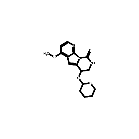 COc1ccnc2c1cc1n2C(=O)NCC1OC1CCCCO1